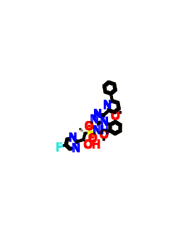 COc1cccc(OC)c1-n1c(NS(=O)(=O)[C@@H](C)[C@H](O)c2ncc(F)cn2)nnc1-c1cccc(-c2ccccc2)n1